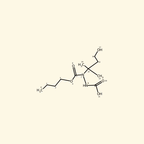 CCCCOC(=O)N(NC(=O)O)C(C)(C)CCO